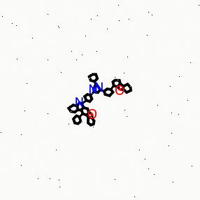 c1ccc(-c2nc(-c3ccc(-c4nc5ccccc5c5c(-c6ccccc6)c6c(cc45)oc4ccccc46)cc3)cc(-c3cccc(-c4cccc5c4oc4ccccc45)c3)n2)cc1